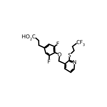 O=C(O)CCc1cc(F)c(OCc2cccnc2SCCC(F)(F)F)c(F)c1